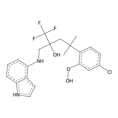 CC(C)(CC(O)(CNc1cccc2[nH]ccc12)C(F)(F)F)c1ccc(Cl)cc1OO